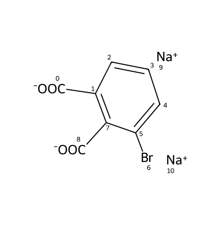 O=C([O-])c1cccc(Br)c1C(=O)[O-].[Na+].[Na+]